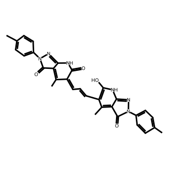 Cc1ccc(N2N=c3[nH]c(=O)c(=CC=Cc4c(O)[nH]c5nn(-c6ccc(C)cc6)c(=O)c-5c4C)c(C)c3C2=O)cc1